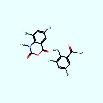 CNC(=O)c1cc(Cl)cc(Cl)c1NC.Cn1c(=O)oc(=O)c2cc(Cl)cc(Cl)c21